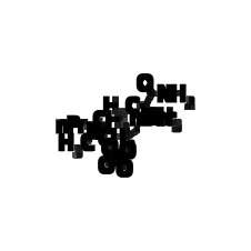 C=C(C)C(N)=O.CCCCCCCCCCCCOS(=O)(=O)[O-].CCC[N+](C)(C)C